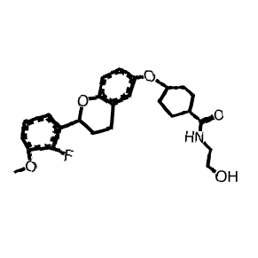 COc1cccc(C2CCc3cc(OC4CCC(C(=O)NCCO)CC4)ccc3O2)c1F